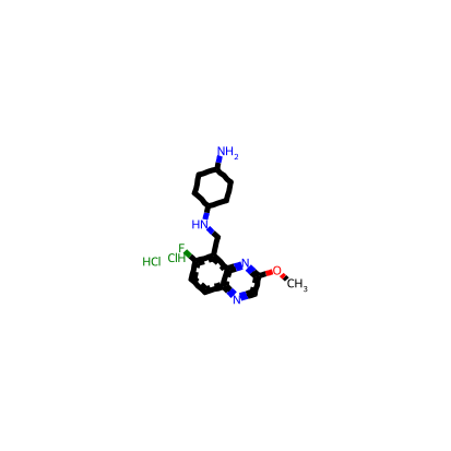 COc1cnc2ccc(F)c(CNC3CCC(N)CC3)c2n1.Cl.Cl